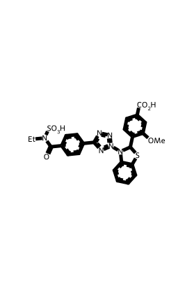 CCN(C(=O)c1ccc(-c2nnn(N3c4ccccc4SC3c3ccc(C(=O)O)cc3OC)n2)cc1)S(=O)(=O)O